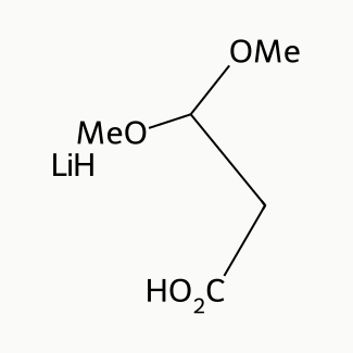 COC(CC(=O)O)OC.[LiH]